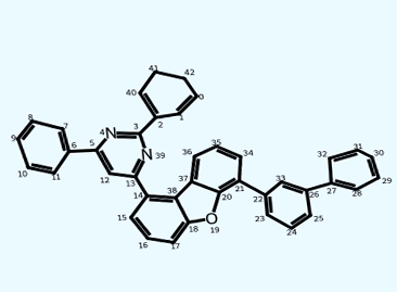 C1=CC(c2nc(-c3ccccc3)cc(-c3cccc4oc5c(-c6cccc(-c7ccccc7)c6)cccc5c34)n2)=CCC1